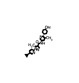 Cc1cc(NC(=O)c2cnn(-c3ccc(C4CC4)cn3)c2C)cnc1[C@H]1CC[C@H](O)CC1